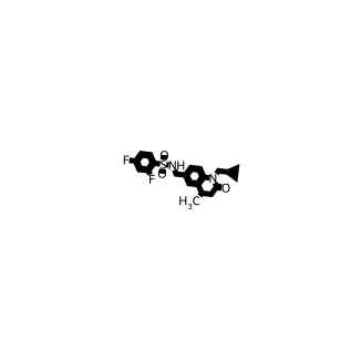 CC1CC(=O)N(CC2CC2)c2ccc(CNS(=O)(=O)c3ccc(F)cc3F)cc21